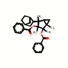 CC12CC1C(C)(C1CC3CCC1C3)C(C)(OC(=O)c1ccccc1)C2(C)OC(=O)c1ccccc1